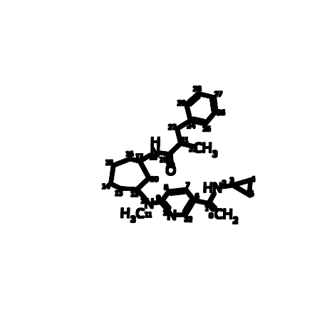 C=C(NC1CC1)c1ccc(N(C)C2CCCCC(NC(=O)C(C)Cc3ccccc3)C2)nc1